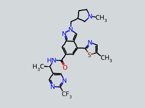 Cc1cnc(-c2cc(C(=O)N[C@H](C)c3cnc(C(F)(F)F)nc3)cc3nn(CC4CCN(C)C4)cc23)s1